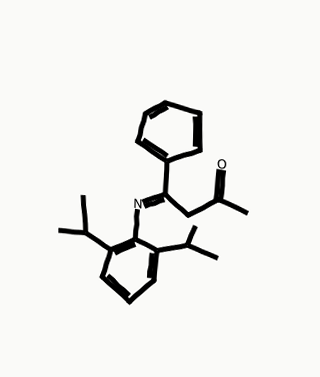 CC(=O)CC(=Nc1c(C(C)C)cccc1C(C)C)c1ccccc1